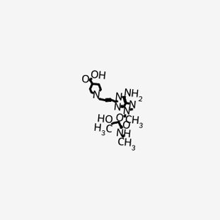 CCNC(=O)[C@@H](O[C@H](C)n1cnc2c(N)nc(C#CCN3CCC(C(=O)O)CC3)nc21)C(C)O